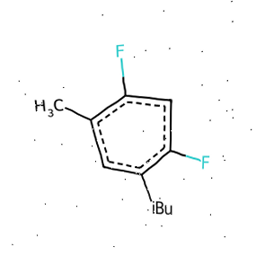 CCC(C)c1cc(C)c(F)cc1F